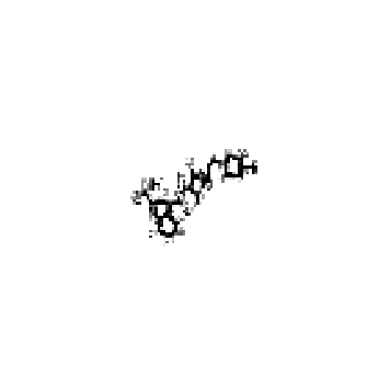 Cc1nn(Cc2ccc(F)cc2)c(C)c1NC(=O)c1cc(C(N)=O)nc2ccccc12